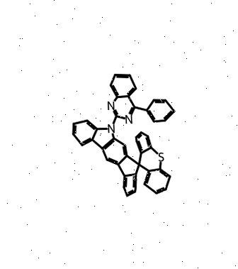 c1ccc(-c2nc(-n3c4ccccc4c4cc5c(cc43)C3(c4ccccc4Sc4ccccc43)c3ccccc3-5)nc3ccccc23)cc1